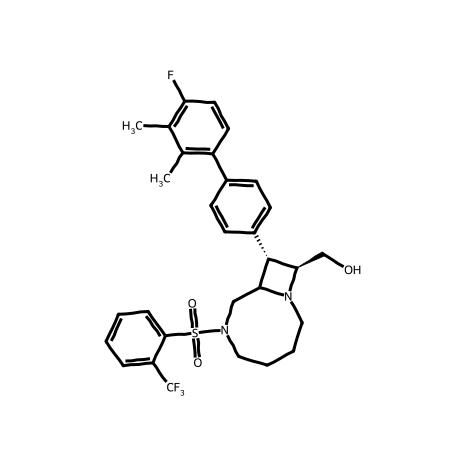 Cc1c(F)ccc(-c2ccc([C@H]3C4CN(S(=O)(=O)c5ccccc5C(F)(F)F)CCCCN4[C@@H]3CO)cc2)c1C